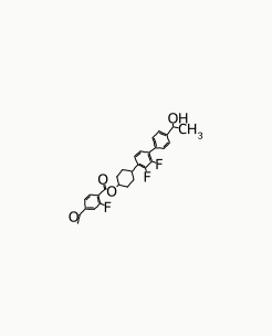 CC(O)c1ccc(-c2ccc(C3CCC(OC(=O)c4ccc(C5CO5)cc4F)CC3)c(F)c2F)cc1